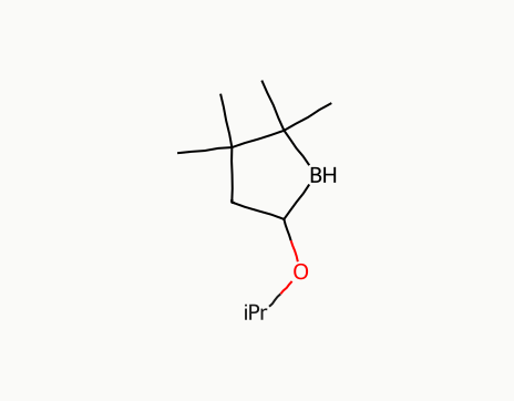 CC(C)OC1BC(C)(C)C(C)(C)C1